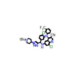 CC(C)(C)N1CCC(n2cc(C(Nc3cc(Cl)c4ncc(C#N)c(Nc5cccc(C(F)(F)F)c5)c4c3)c3ccc(Cl)cc3)nn2)CC1